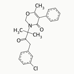 CC1=C(c2ccccc2)C(=O)N(C(C)(C)C(=O)Cc2cccc(Cl)c2)CO1